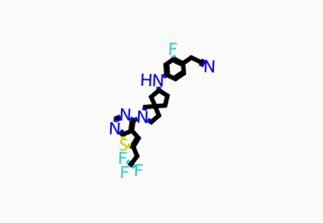 N#CCc1ccc(NC2CCC3(CCN(c4ncnc5sc(CC(F)(F)F)cc45)C3)C2)cc1F